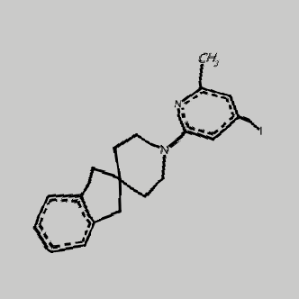 Cc1cc(I)cc(N2CCC3(CC2)Cc2ccccc2C3)n1